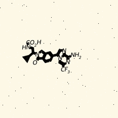 Nc1nc(C(F)(F)F)cn2c(-c3ccc4c(c3)CN(C(CNC(=O)O)C3CC3)C4=O)cnc12